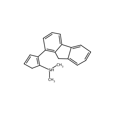 C[SiH](C)C1=C(c2cccc3c2Cc2ccccc2-3)C=CC1